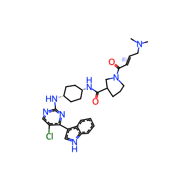 CN(C)C/C=C/C(=O)N1CCCC(C(=O)N[C@H]2CC[C@@H](Nc3ncc(Cl)c(-c4c[nH]c5ccccc45)n3)CC2)C1